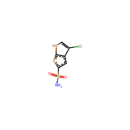 NS(=O)(=O)c1cc2c(s1)[SH]C=C2Cl